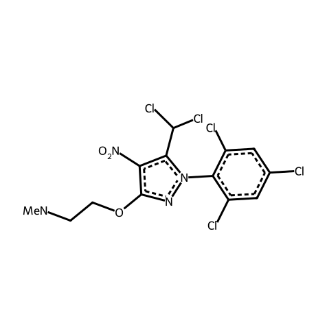 CNCCOc1nn(-c2c(Cl)cc(Cl)cc2Cl)c(C(Cl)Cl)c1[N+](=O)[O-]